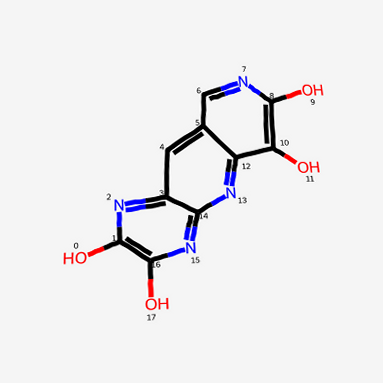 Oc1nc2cc3cnc(O)c(O)c3nc2nc1O